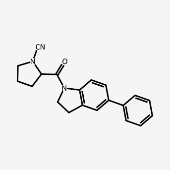 N#CN1CCCC1C(=O)N1CCc2cc(-c3ccccc3)ccc21